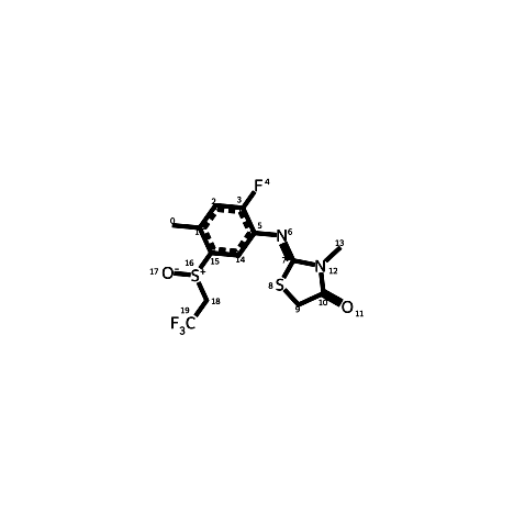 Cc1cc(F)c(/N=C2\SCC(=O)N2C)cc1[S+]([O-])CC(F)(F)F